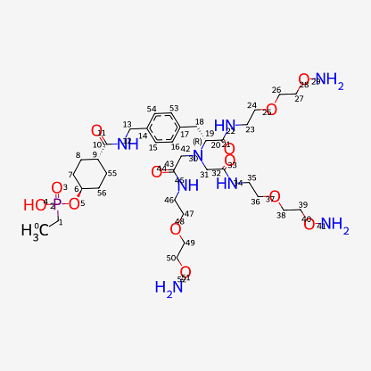 CCP(=O)(O)O[C@H]1CC[C@H](C(=O)NCc2ccc(C[C@H](C(=O)NCCOCCON)N(CC(=O)NCCOCCON)CC(=O)NCCOCCON)cc2)CC1